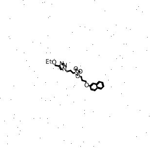 CCOCc1cn(CCCS(=O)(=O)OCCCOc2ccc3ccccc3c2)nn1